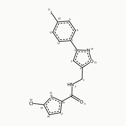 O=C(NCc1cc(-c2ccc(I)cc2)no1)c1ccc(Cl)s1